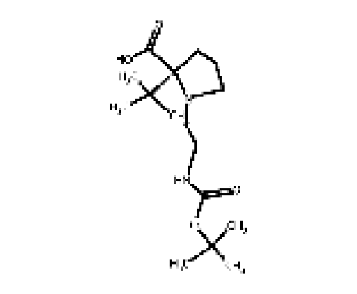 CC(C)(C)OC(=O)NCCN1CCC[C@]1(C(=O)O)C(C)(C)C